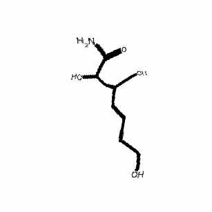 NC(=O)C(O)C(O)CCCCO